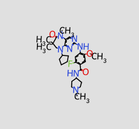 COc1cc(C(=O)NC2CCN(C)CC2)c(F)cc1Nc1ncc2c(n1)N(C1CCCC1)CC(C)(C)C(=O)N2C